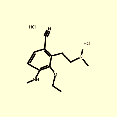 CCOc1c(NC)ccc(C#N)c1CCN(C)C.Cl.Cl